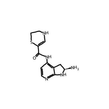 N[C@@H]1Cc2c(NC(=O)C3=CNCCS3)ccnc2N1